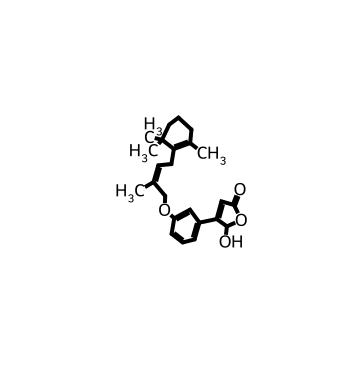 CC(=CCC1=C(C)CCCC1(C)C)COc1cccc(C2=CC(=O)OC2O)c1